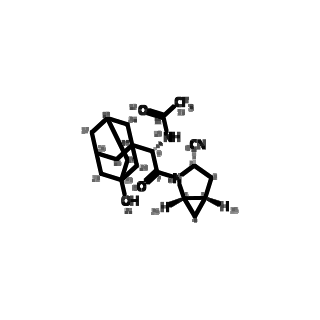 N#C[C@@H]1C[C@@H]2C[C@@H]2N1C(=O)[C@@H](NC(=O)C(F)(F)F)C12CC3CC(CC(O)(C3)C1)C2